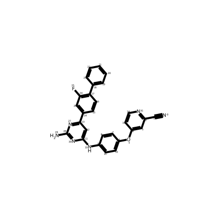 N#Cc1cc(Oc2ccc(Nc3cc(-c4ccc(-c5ccccc5)c(F)c4)nc(N)n3)cc2)ccn1